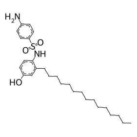 CCCCCCCCCCCCCCCc1cc(O)ccc1NS(=O)(=O)c1ccc(N)cc1